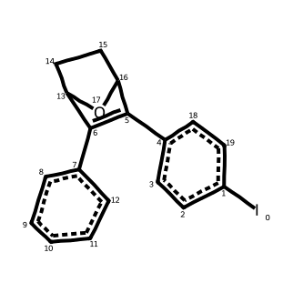 Ic1ccc(C2=C(c3ccccc3)C3CCC2O3)cc1